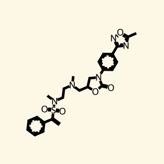 C=C(c1ccccc1)S(=O)(=O)N(C)CCN(C)CC1CN(c2ccc(-c3noc(C)n3)cc2)C(=O)O1